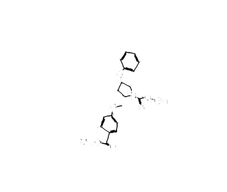 COC(=O)c1ccc(OC[C@@H]2C[C@H](Oc3ccccc3)CN2C(=O)OC(C)(C)C)cc1